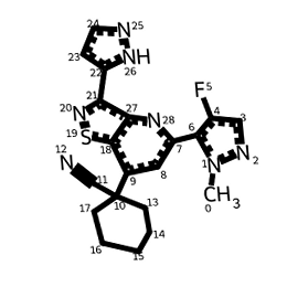 Cn1ncc(F)c1-c1cc(C2(C#N)CCCCC2)c2snc(-c3ccn[nH]3)c2n1